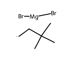 [Br][Mg][Br].[CH2]CC(C)(C)C